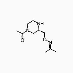 CC(=O)N1CCN[C@@H](CON=C(C)C)C1